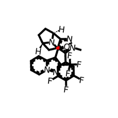 Cn1nc2c(c1-c1cc(F)c(F)c(F)c1)C[C@@H]1CC[C@@H]2N1C(=O)c1c(C(F)(F)F)nn2ccccc12